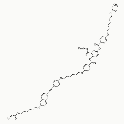 C=CC(=O)OCCCCCCOc1ccc(C(=O)Oc2ccc(OC(=O)c3ccc(OCCCCCCOc4ccc(C#Cc5ccc6cc(OCCCCCCOC(=O)C=C)ccc6c5)cc4)cc3)c(C(=O)OCCCCC)c2)cc1